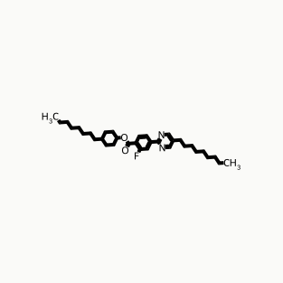 CCCCCCCCCc1cnc(-c2ccc(C(=O)OC3CCC(CCCCCCCC)CC3)c(F)c2)nc1